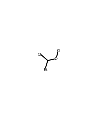 CCC(Cl)OCl